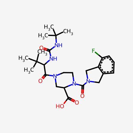 CC(C)(C)NC(=O)NC(C(=O)N1CCN(C(=O)N2Cc3cccc(F)c3C2)C(C(=O)O)C1)C(C)(C)C